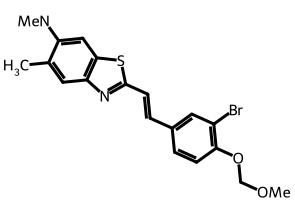 CNc1cc2sc(C=Cc3ccc(OCOC)c(Br)c3)nc2cc1C